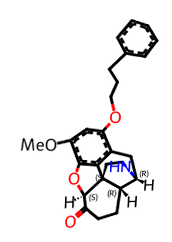 COc1cc(OCCCc2ccccc2)c2c3c1O[C@@H]1C(=O)CC[C@H]4[C@@H](C2)NCC[C@]314